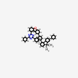 CC1(C)c2cc(-c3ccccc3)ccc2-c2c(-c3ccc(-c4ccc5oc6cccc(-c7nc(-c8ccccc8)nc(-c8ccccc8)n7)c6c5c4)cc3)cccc21